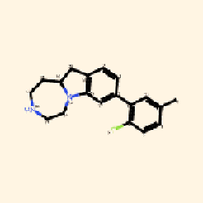 Cc1ccc(F)c(-c2ccc3c(c2)N2CCNCCC2C3)c1